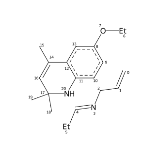 C=CCN=CCC.CCOc1ccc2c(c1)C(C)=CC(C)(C)N2